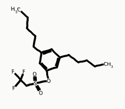 CCCCCc1cc(CCCCC)cc(OS(=O)(=O)CC(F)(F)F)c1